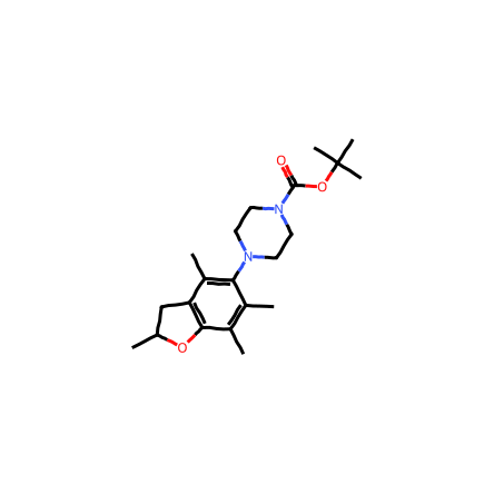 Cc1c(C)c(N2CCN(C(=O)OC(C)(C)C)CC2)c(C)c2c1OC(C)C2